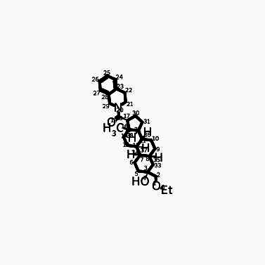 CCOC[C@@]1(O)CC[C@H]2[C@H](CC[C@@H]3[C@@H]2CC[C@]2(C)[C@@H](C(=O)N4CCc5ccccc5C4)CC[C@@H]32)C1